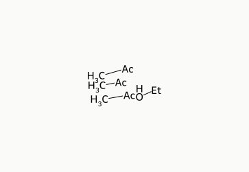 CC(C)=O.CC(C)=O.CC(C)=O.CCO